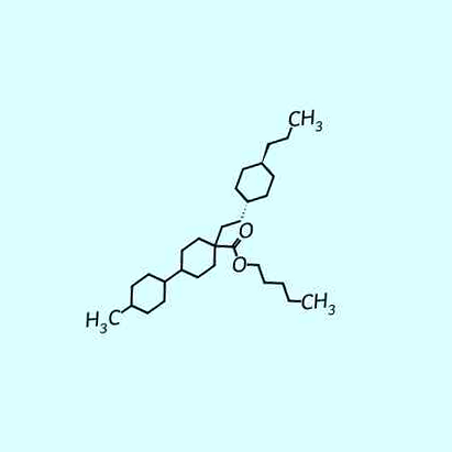 CCCCCOC(=O)C1(CC[C@H]2CC[C@H](CCC)CC2)CCC(C2CCC(C)CC2)CC1